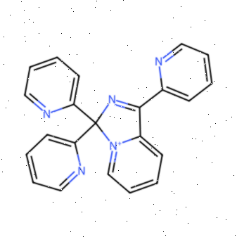 c1ccc(C2=NC(c3ccccn3)(c3ccccn3)[n+]3ccccc32)nc1